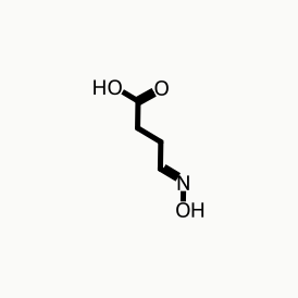 O=C(O)CCC=NO